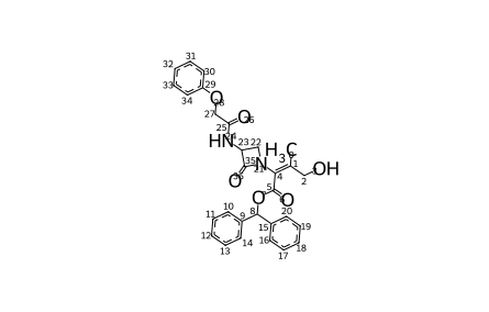 CC(CO)=C(C(=O)OC(c1ccccc1)c1ccccc1)N1CC(NC(=O)COc2ccccc2)C1=O